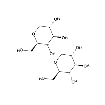 OC[C@H]1OC[C@H](O)[C@@H](O)[C@@H]1O.OC[C@H]1OC[C@H](O)[C@@H](O)[C]1O